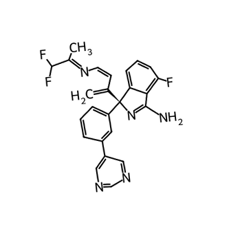 C=C(/C=C\N=C(/C)C(F)F)[C@]1(c2cccc(-c3cncnc3)c2)N=C(N)c2c(F)cccc21